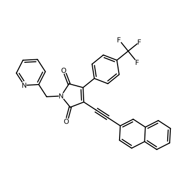 O=C1C(C#Cc2ccc3ccccc3c2)=C(c2ccc(C(F)(F)F)cc2)C(=O)N1Cc1ccccn1